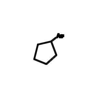 [As]C1CCCC1